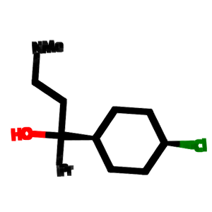 CNCCC(O)(C(C)C)[C@H]1CC[C@@H](Cl)CC1